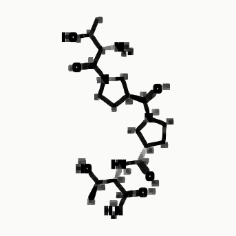 CC(O)[C@H](N)C(=O)N1CC[C@H](C(=O)N2CC[C@H](C(=O)N[C@H](C(N)=O)[C@@H](C)O)C2)C1